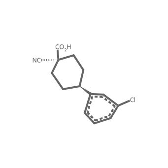 N#C[C@]1(C(=O)O)CC[C@@H](c2cccc(Cl)c2)CC1